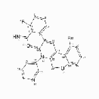 N=Cc1c(F)cccc1-c1cc2c(n(-c3cccnc3)c1=O)COc1cccc(F)c1-2